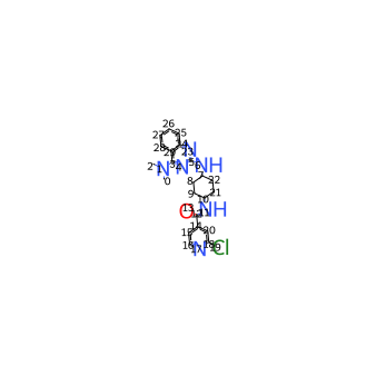 CN(C)c1nc(NC2CCC(NC(=O)c3ccnc(Cl)c3)CC2)nc2ccccc12